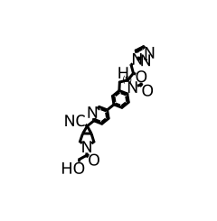 N#CC1(c2ccc(-c3ccc4c(c3)C[C@H]3C(Cn5ccnn5)OC(=O)N43)cn2)C2CN(C(=O)CO)CC21